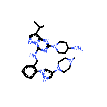 CC(C)c1cnn2c(NCc3ccccc3-n3cc(N4CCN(C)CC4)cn3)nc(N3CCC(N)CC3)nc12